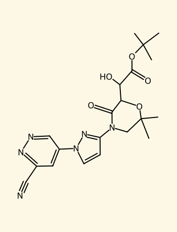 CC(C)(C)OC(=O)C(O)C1OC(C)(C)CN(c2ccn(-c3cnnc(C#N)c3)n2)C1=O